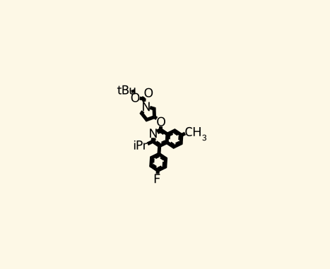 Cc1ccc2c(-c3ccc(F)cc3)c(C(C)C)nc(OC3CCN(C(=O)OC(C)(C)C)C3)c2c1